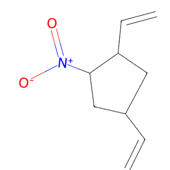 C=CC1CC(C=C)C([N+](=O)[O-])C1